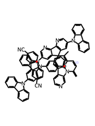 C=C(/C=C\C1=C(C)C2(c3cc(-n4c5ccc(C#N)cc5c5cc(-n6c7ccccc7c7ccccc76)ccc54)ccc3O1)c1cc(-n3c4ccccc4c4ccccc43)cnc1-c1ncc(-n3c4ccccc4c4cc(C#N)ccc43)cc12)n1c2ccccc2c2ccncc21